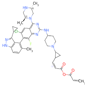 C=CC(=O)OC(=O)/C=C\C1CC1N1CCC(Nc2nc(N3C[C@@H](C)NC[C@@H]3C)c3cc(Cl)c(-c4c(C)ccc5[nH]nc(C6CC6)c45)c(F)c3n2)CC1